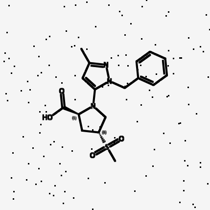 Cc1cc(N2C[C@H](S(C)(=O)=O)C[C@H]2C(=O)O)n(Cc2ccccc2)n1